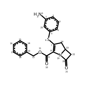 Nc1cccc(SC2=C(C(=O)OCc3ccccc3)N3C(=O)CC3C2)c1